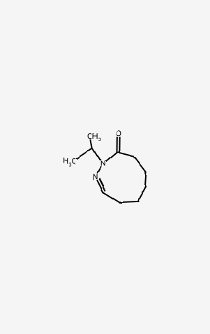 CC(C)N1/N=C\CCCCCC1=O